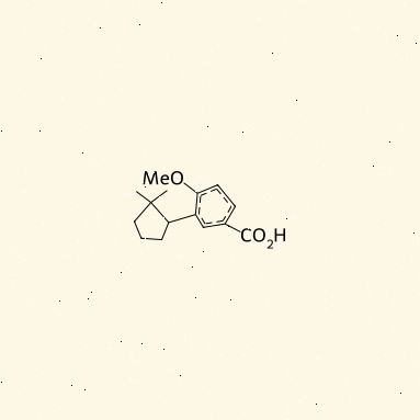 COc1ccc(C(=O)O)cc1C1CCCC1(C)C